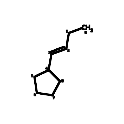 CC/C=C/[C]1CCCC1